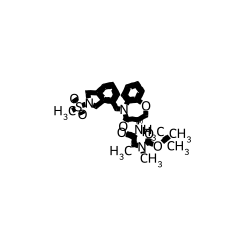 C[C@@H](C(=O)N[C@H]1COc2ccccc2N(Cc2cccc3c2CN(S(C)(=O)=O)C3)C1=O)N(C)C(=O)OC(C)(C)C